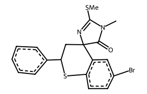 CSC1=NC2(CC(c3ccccc3)Sc3ccc(Br)cc32)C(=O)N1C